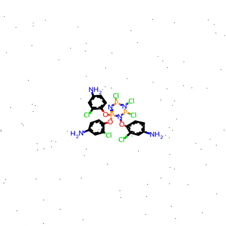 Nc1ccc(ON2P(Cl)N(Cl)P(Cl)N=P2(Oc2ccc(N)cc2Cl)Oc2ccc(N)cc2Cl)c(Cl)c1